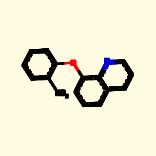 O=[N+]([O-])c1ccccc1Oc1cccc2cccnc12